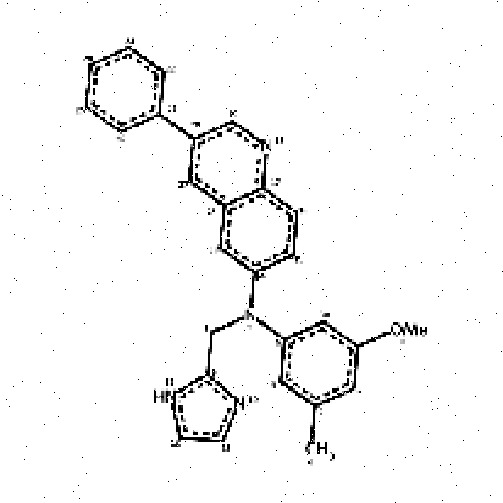 COc1cc(C)cc(N(Cc2ncc[nH]2)c2ccc3ncc(-c4ccccc4)cc3c2)c1